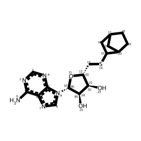 Nc1ncnc2c1ncn2[C@@H]1O[C@H](CSC2CC3CCC2C3)[C@@H](O)[C@H]1O